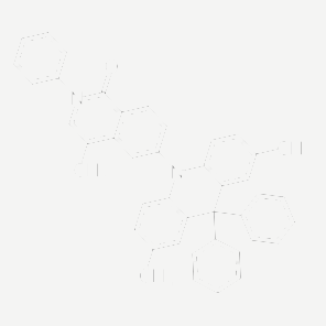 Cc1ccc2c(c1)C(c1ccccc1)(c1ccccc1)c1cc(C)ccc1N2c1ccc2c(=O)n(-c3ccccc3)cc(C)c2c1